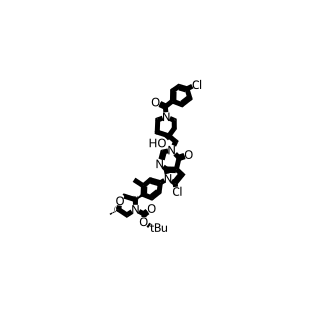 Cc1cc(-n2c(Cl)cc3c(=O)n(CC4(O)CCN(C(=O)c5ccc(Cl)cc5)CC4)cnc32)ccc1[C@@H]1CO[C@@H](C)CN1C(=O)OC(C)(C)C